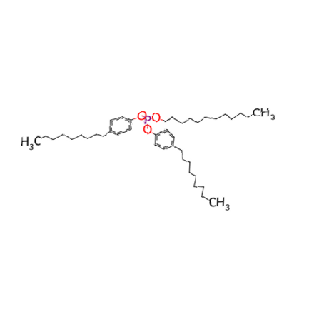 CCCCCCCCCCCCOP(Oc1ccc(CCCCCCCCC)cc1)Oc1ccc(CCCCCCCCC)cc1